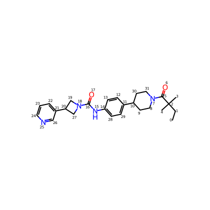 CCC(C)(C)C(=O)N1CCC(c2ccc(NC(=O)N3CC(c4cccnc4)C3)cc2)CC1